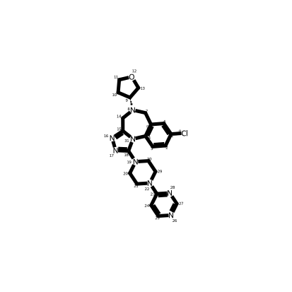 Clc1ccc2c(c1)CN([C@@H]1CCOC1)Cc1nnc(N3CCN(c4ccncn4)CC3)n1-2